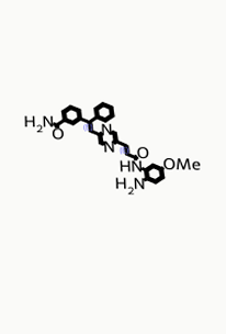 COc1ccc(N)c(NC(=O)/C=C/c2cnc(/C=C(\c3ccccc3)c3cccc(C(N)=O)c3)cn2)c1